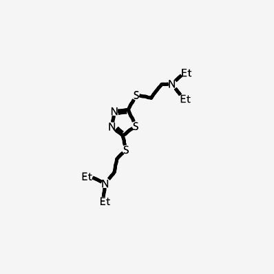 CCN(CC)CCSc1nnc(SCCN(CC)CC)s1